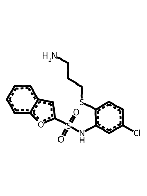 NCCCSc1ccc(Cl)cc1NS(=O)(=O)c1cc2ccccc2o1